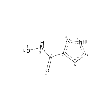 O=C(NO)c1cc[nH]n1